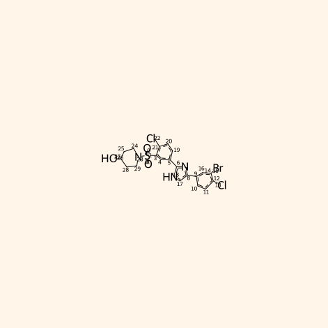 O=S(=O)(c1cc(-c2nc(-c3ccc(Cl)c(Br)c3)c[nH]2)ccc1Cl)N1CCC(O)CC1